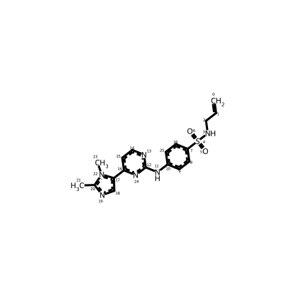 C=CCNS(=O)(=O)c1ccc(Nc2nccc(-c3cnc(C)n3C)n2)cc1